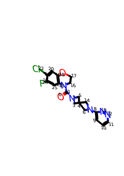 O=C(N1CC2(C1)CN(c1cccnn1)C2)N1CCOc2cc(Cl)c(F)cc21